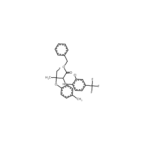 Cc1ccc(OC(C)(CF)C(Nc2ccc(C(F)(F)F)cc2Cl)C(=O)OCc2ccccc2)cc1